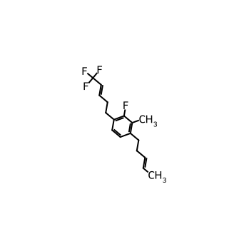 C/C=C/CCc1ccc(CC/C=C/C(F)(F)F)c(F)c1C